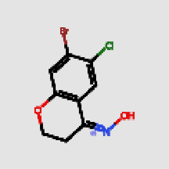 O/N=C1/CCOc2cc(Br)c(Cl)cc21